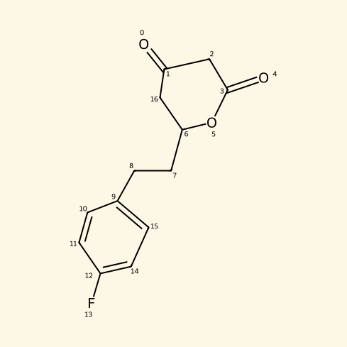 O=C1CC(=O)OC(CCc2ccc(F)cc2)C1